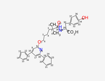 CC(C)(CCCCOc1cc(-c2ccccc2)cc(-c2ccccc2)n1)C(=O)NC(Cc1ccc(O)cc1)C(=O)O